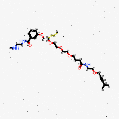 CNCCNC(=O)c1cccc(OC[C@@H](OCCOCCOCCCC(=O)NCCOCC#CC(C)C)SSC)c1